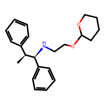 C[C@@H](c1ccccc1)[C@@H](NCCOC1CCCCO1)c1ccccc1